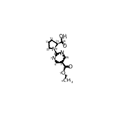 CCOC(=O)c1cnc(N2CCC[C@H]2C(=O)O)nc1